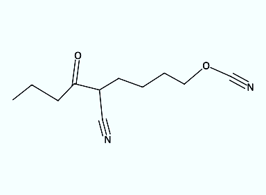 CCCC(=O)C(C#N)CCCCOC#N